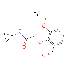 CCOc1cccc(C=O)c1OCC(=O)NC1CC1